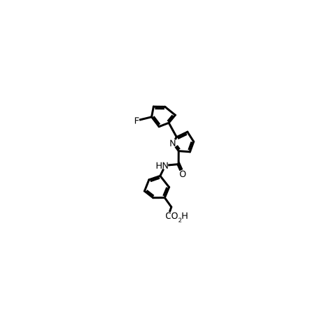 O=C(O)Cc1cccc(NC(=O)c2cccc(-c3cccc(F)c3)n2)c1